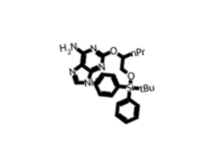 CCCC(CO[Si](c1ccccc1)(c1ccccc1)C(C)(C)C)Oc1nc(N)c2nc[nH]c2n1